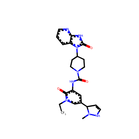 CN1NC=CC1c1cc(NC(=O)N2CCC(n3c(=O)[nH]c4ncccc43)CC2)c(=O)n(CC(F)(F)F)c1